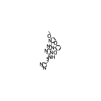 CCOc1cccc(-c2nc3ncc(NSCc4cncnc4)nc3n2-c2c(OC)cccc2OC)n1